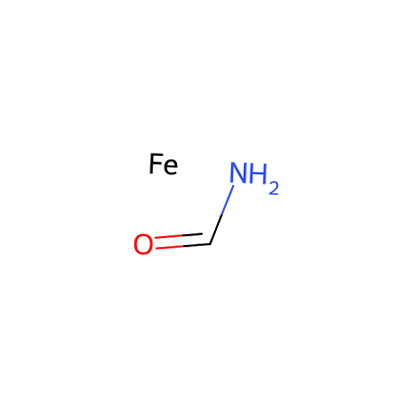 NC=O.[Fe]